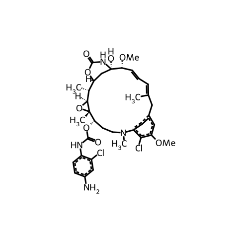 COc1cc2cc(c1Cl)N(C)CC[C@H](OC(=O)Nc1ccc(N)cc1Cl)[C@]1(C)O[C@H]1[C@H](C)[C@@H]1C[C@@](O)(NC(=O)O1)[C@H](OC)/C=C/C=C(\C)C2